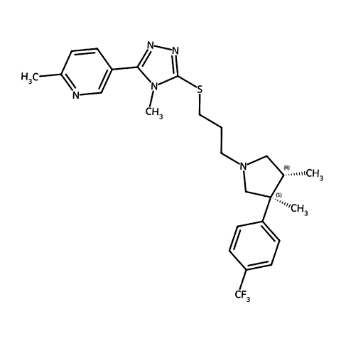 Cc1ccc(-c2nnc(SCCCN3C[C@H](C)[C@@](C)(c4ccc(C(F)(F)F)cc4)C3)n2C)cn1